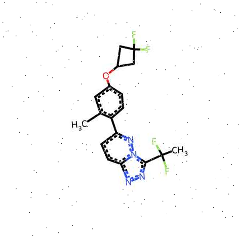 Cc1cc(OC2CC(F)(F)C2)ccc1-c1ccc2nnc(C(C)(F)F)n2n1